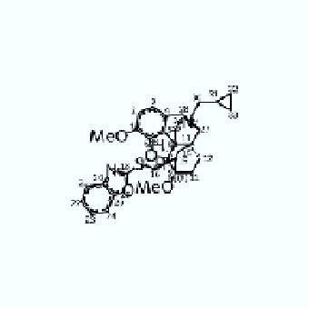 COc1ccc2c3c1O[C@H]1[C@@]4(OC)CC[C@@]5(C[C@@H]4CSc4nc6ccccc6o4)C(C2)N(CC2CC2)CC[C@]315